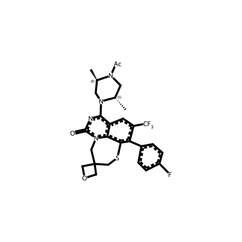 CC(=O)N1C[C@H](C)N(c2nc(=O)n3c4c(c(-c5ccc(F)cc5)c(C(F)(F)F)cc24)SCC2(COC2)C3)C[C@H]1C